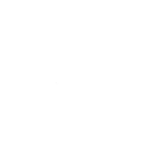 CCCCCCCCOC(=O)/C(CCCC)=C(/CCCCCC)C(=O)OCCCCCCCC